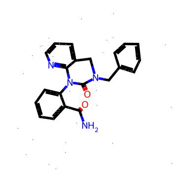 NC(=O)c1ccccc1N1C(=O)N(Cc2ccccc2)Cc2cccnc21